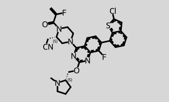 C=C(F)C(=O)N1CCN(c2nc(OC[C@@H]3CCCN3C)nc3c(F)c(-c4cccc5cc(Cl)sc45)ccc23)C[C@@H]1CC#N